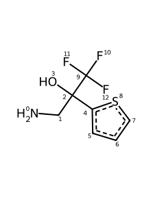 NCC(O)(c1cccs1)C(F)(F)F